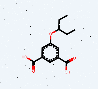 CCC(CC)Oc1cc(C(=O)O)cc(C(=O)O)c1